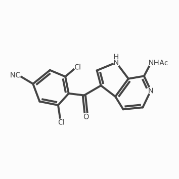 CC(=O)Nc1nccc2c(C(=O)c3c(Cl)cc(C#N)cc3Cl)c[nH]c12